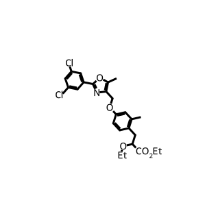 CCOC(=O)C(Cc1ccc(OCc2nc(-c3cc(Cl)cc(Cl)c3)oc2C)cc1C)OCC